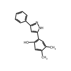 Cc1cc(O)c(-c2cc(-c3ccccc3)n[nH]2)cc1C